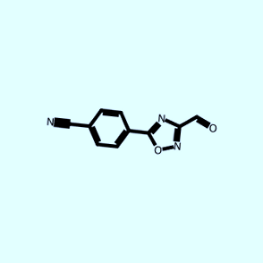 N#Cc1ccc(-c2nc(C=O)no2)cc1